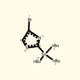 CCC[CH2][Sn]([CH2]CCC)([CH2]CCC)[c]1nc(Br)cs1